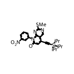 CSc1ncc2c(C#C[Si](C(C)C)(C(C)C)C(C)C)cc(=O)n(-c3cccc([N+](=O)[O-])c3)c2n1